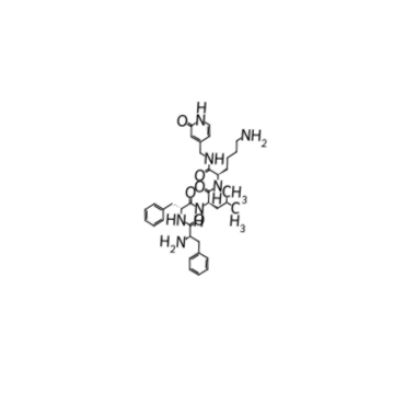 CC(C)C[C@@H](NC(=O)[C@@H](Cc1ccccc1)NC(=O)[C@H](N)Cc1ccccc1)C(=O)N[C@H](CCCCN)C(=O)NCc1cc[nH]c(=O)c1